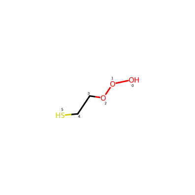 OOOCCS